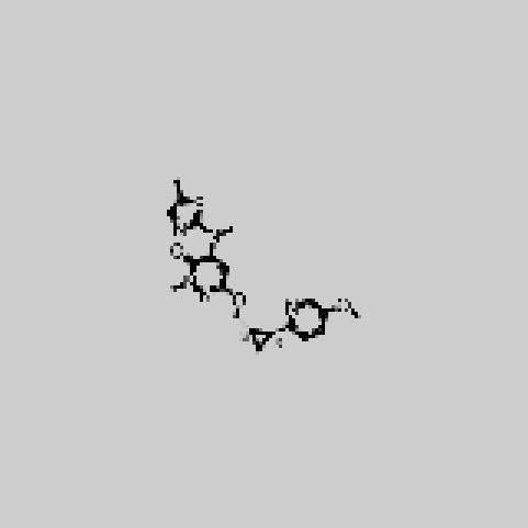 COc1ccc([C@H]2C[C@@H]2COc2cc(N(C)c3ncc(C)s3)c(=O)n(C)n2)nc1